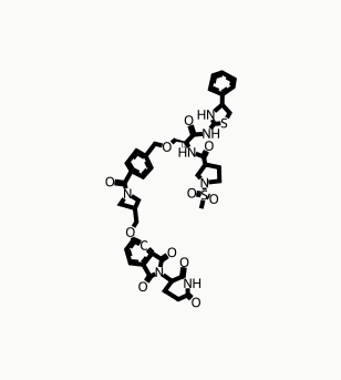 CS(=O)(=O)N1CCC(C(=O)N[C@@H](COCc2ccc(C(=O)N3CC(COc4ccc5c(c4)C(=O)N(C4CCC(=O)NC4=O)C5=O)C3)cc2)C(=O)NC2NC(c3ccccc3)CS2)C1